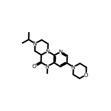 CC(C)N1CCN2c3ncc(N4CCOCC4)cc3N(C)C(=O)C2C1